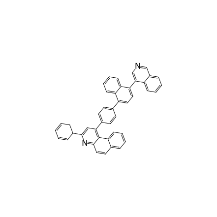 C1=CCC(c2cc(-c3ccc(-c4ccc(-c5cncc6ccccc56)c5ccccc45)cc3)c3c(ccc4ccccc43)n2)C=C1